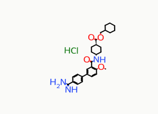 COc1ccc(-c2ccc(C(=N)N)cc2)cc1C(=O)N[C@H]1CC[C@H](C(=O)OCC2CCCCC2)CC1.Cl